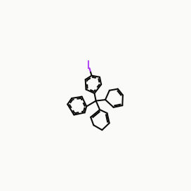 Ic1ccc(C(C2=CCCC=C2)(c2ccccc2)C2C=CC=CC2)cc1